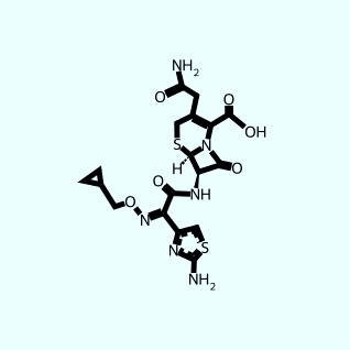 NC(=O)CC1=C(C(=O)O)N2C(=O)[C@@H](NC(=O)/C(=N\OCC3CC3)c3csc(N)n3)[C@H]2SC1